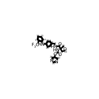 O=C(N[C@@]1(C(=O)NCc2ccc(Nc3ccccc3C(F)(F)F)cc2)CCOC1)Oc1cncnc1